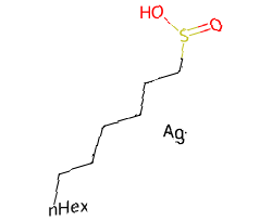 CCCCCCCCCCCCS(=O)O.[Ag]